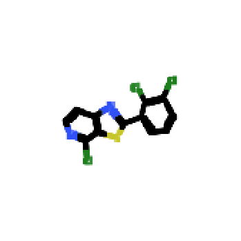 Clc1cccc(-c2nc3ccnc(Cl)c3s2)c1Cl